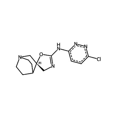 Clc1ccc(NC2=NC[C@@]3(CN4CCC3CC4)O2)nn1